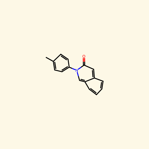 Cc1ccc(-n2cc3ccccc3cc2=O)cc1